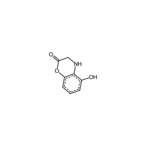 O=C1CNc2c(O)cccc2O1